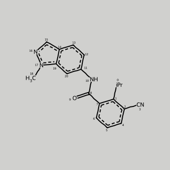 CC(C)c1c(C#N)cccc1C(=O)Nc1ccc2cnn(C)c2c1